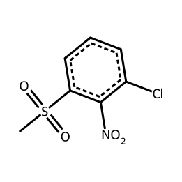 CS(=O)(=O)c1cccc(Cl)c1[N+](=O)[O-]